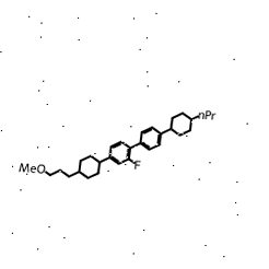 CCCC1CCC(c2ccc(-c3ccc(C4CCC(CCCOC)CC4)cc3F)cc2)CC1